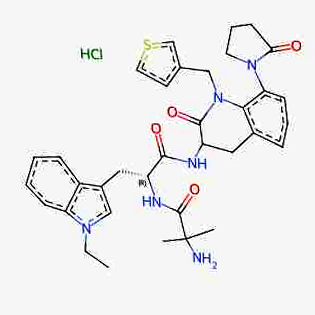 CCn1cc(C[C@@H](NC(=O)C(C)(C)N)C(=O)NC2Cc3cccc(N4CCCC4=O)c3N(Cc3ccsc3)C2=O)c2ccccc21.Cl